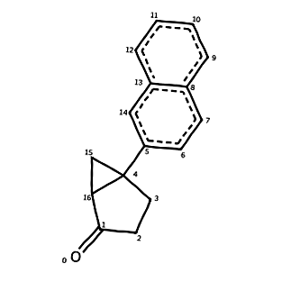 O=C1CCC2(c3ccc4ccccc4c3)CC12